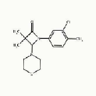 Cc1ccc(N2C(=O)C(C)(C)C2N2CCOCC2)cc1Cl